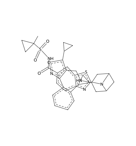 CC1(S(=O)(=O)NC(=O)c2ccc3nc(N4C5CC(NCc6c(-c7ccccc7C7CC7)noc6C6CC6)CC4C5)sc3c2)CC1